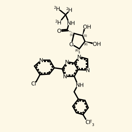 [2H]C([2H])([2H])NC(=O)[C@H]1O[C@@H](n2cnc3c(NCc4ccc(C(F)(F)F)cc4)nc(-c4cncc(Cl)c4)nc32)[C@H](O)[C@@H]1O